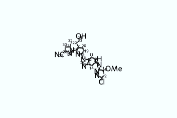 COc1cc(Cl)nnc1Nc1ccc2c(c1)ncn2-c1ccc(CCO)c(-n2nc(C#N)cc2C)n1